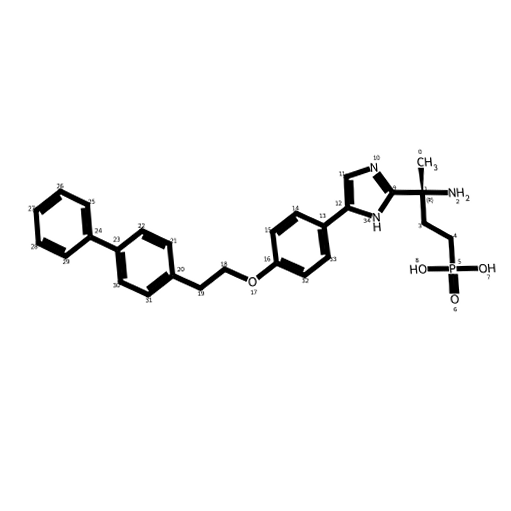 C[C@@](N)(CCP(=O)(O)O)c1ncc(-c2ccc(OCCc3ccc(-c4ccccc4)cc3)cc2)[nH]1